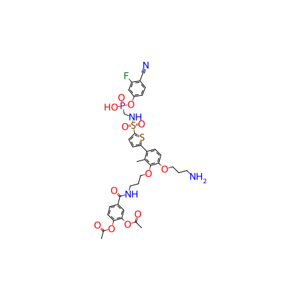 CC(=O)Oc1ccc(C(=O)NCCCOc2c(OCCCN)ccc(-c3ccc(S(=O)(=O)NCP(=O)(O)Oc4ccc(C#N)c(F)c4)s3)c2C)cc1OC(C)=O